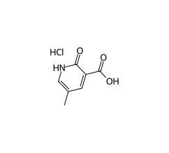 Cc1c[nH]c(=O)c(C(=O)O)c1.Cl